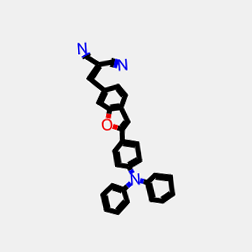 N#CC(C#N)=Cc1ccc2cc(-c3ccc(N(c4ccccc4)c4ccccc4)cc3)oc2c1